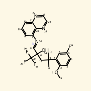 COc1ccc(F)cc1C(C)(C)CC(O)(/C=N/c1cccc2nccnc12)C(F)(F)F